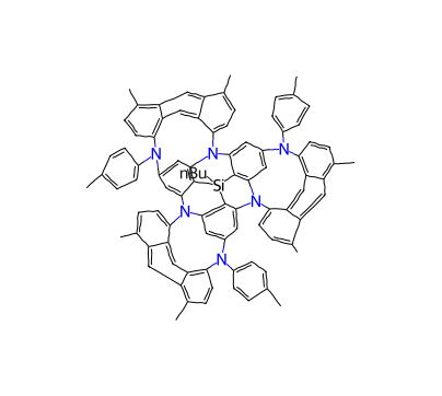 CCCC[Si]12c3c4cc5cc3N3c6cc(cc(c61)N1c6cc(cc(c62)N4c2ccc(C)c4cc6c(C)ccc(c6cc24)N5c2ccc(C)cc2)N(c2ccc(C)cc2)c2ccc(C)c4cc5c(C)ccc1c5cc24)N(c1ccc(C)cc1)c1ccc(C)c2cc4c(C)ccc3c4cc12